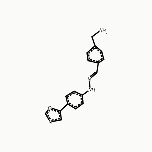 NCc1ccc(/C=N/Nc2ccc(-c3cnco3)cc2)cc1